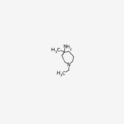 CCN1CCCC(C)(N)CC1